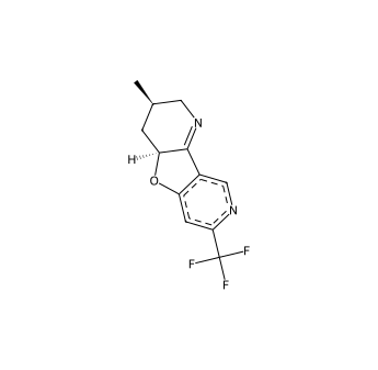 C[C@H]1CN=C2c3cnc(C(F)(F)F)cc3O[C@H]2C1